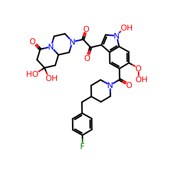 O=C(C(=O)N1CCN2C(=O)CC(O)(O)CC2C1)c1cn(O)c2cc(OO)c(C(=O)N3CCC(Cc4ccc(F)cc4)CC3)cc12